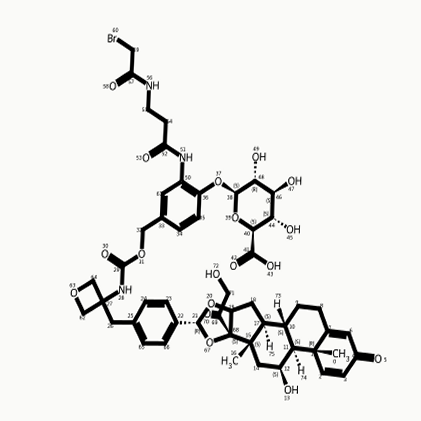 C[C@]12C=CC(=O)C=C1CC[C@@H]1[C@@H]2[C@@H](O)C[C@@]2(C)[C@H]1CC1O[C@@H](c3ccc(CC4(NC(=O)OCc5ccc(O[C@@H]6O[C@H](C(=O)O)[C@@H](O)[C@H](O)[C@H]6O)c(NC(=O)CCNC(=O)CBr)c5)COC4)cc3)O[C@]12C(=O)CO